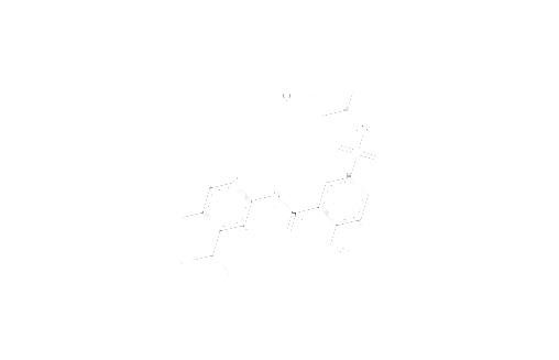 COCC(C)NS(=O)(=O)c1ccc(OC)c(C(=O)Nc2ccc(F)c(C(F)F)c2)c1